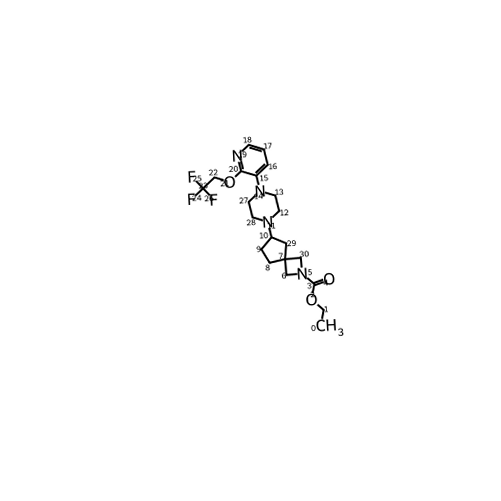 CCOC(=O)N1CC2(CCC(N3CCN(c4cccnc4OCC(F)(F)F)CC3)C2)C1